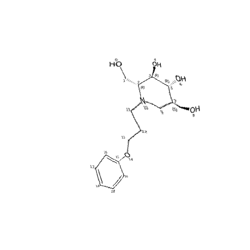 OC[C@@H]1[C@@H](O)[C@H](O)[C@@H](O)CN1CCCOc1ccccc1